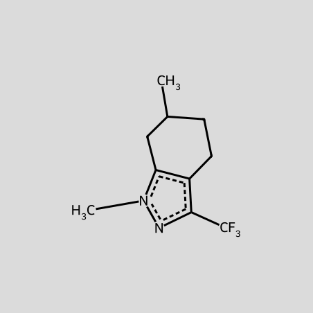 CC1CCc2c(C(F)(F)F)nn(C)c2C1